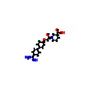 N=C(N)c1ccc(-c2ccc(OCC(=O)N3CCCC(C(=O)O)C3)cc2)cc1